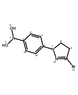 ON(O)c1ccc(N2CCC(Br)=N2)cc1